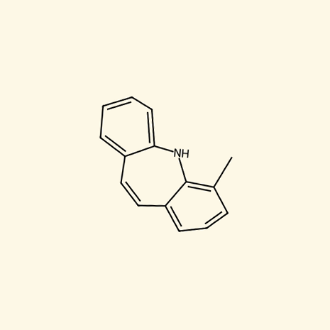 Cc1cccc2c1Nc1ccccc1C=C2